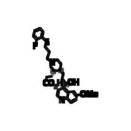 COc1ccc2nccc([C@H](O)CC[C@@H]3CCN(CCCSc4ccccc4F)C[C@H]3CCC(=O)O)c2c1